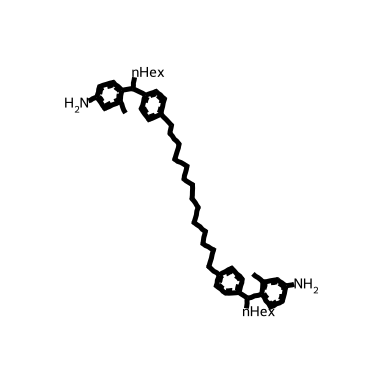 CCCCCCC(c1ccc(CCCCCCCCCCCCCCc2ccc(C(CCCCCC)c3ccc(N)cc3C)cc2)cc1)c1ccc(N)cc1C